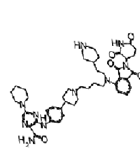 NC(=O)c1ncc(N2CCCCC2)nc1Nc1ccc(C2CCN(CCCCN(CCC3CCNCC3)c3cccc4c3C(=O)N(C3CCC(=O)NC3=O)C4=O)CC2)cc1